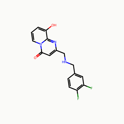 O=c1cc(CNCc2ccc(F)c(F)c2)nc2c(O)cccn12